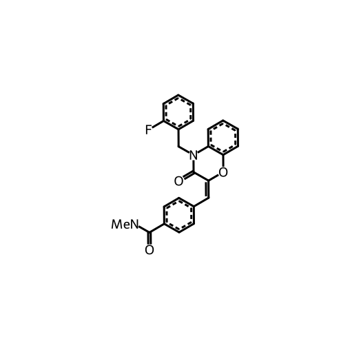 CNC(=O)c1ccc(C=C2Oc3ccccc3N(Cc3ccccc3F)C2=O)cc1